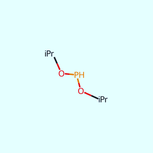 CC(C)OPOC(C)C